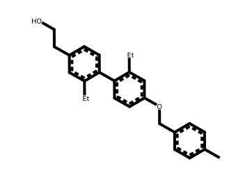 CCc1cc(CCO)ccc1-c1ccc(OCc2ccc(C)cc2)cc1CC